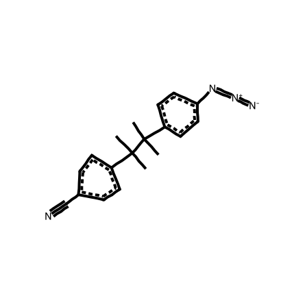 CC(C)(c1ccc(C#N)cc1)C(C)(C)c1ccc(N=[N+]=[N-])cc1